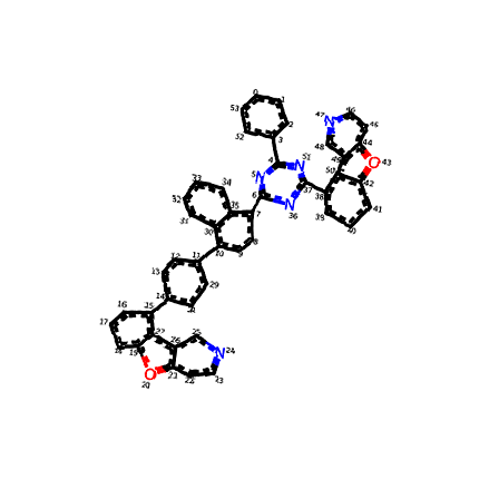 c1ccc(-c2nc(-c3ccc(-c4ccc(-c5cccc6oc7ccncc7c56)cc4)c4ccccc34)nc(-c3cccc4oc5ccncc5c34)n2)cc1